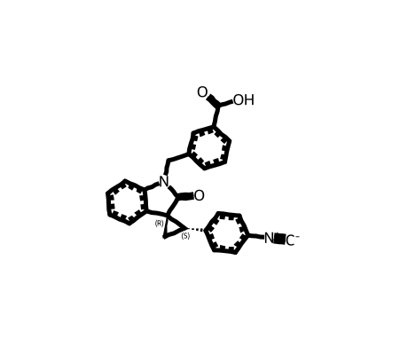 [C-]#[N+]c1ccc([C@@H]2C[C@@]23C(=O)N(Cc2cccc(C(=O)O)c2)c2ccccc23)cc1